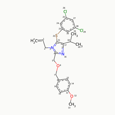 C=CCn1c(COCc2ccc(OC)cc2)nc(C(C)C)c1Sc1cc(Cl)cc(Cl)c1